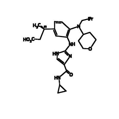 CC(C)CN(c1ccc([C@H](C)CC(=O)O)cc1Nc1nc(C(=O)NC2CC2)c[nH]1)C1CCOCC1